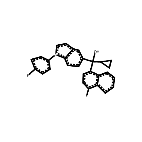 OC(c1ccc2c(ccn2-c2ccc(F)cc2)c1)(c1ccc(F)c2ccccc12)C1CC1